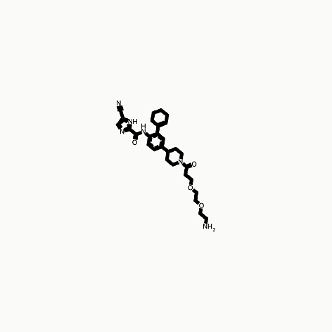 N#Cc1cnc(C(=O)Nc2ccc(C3CCN(C(=O)CCOCCOCCN)CC3)cc2C2=CCCCC2)[nH]1